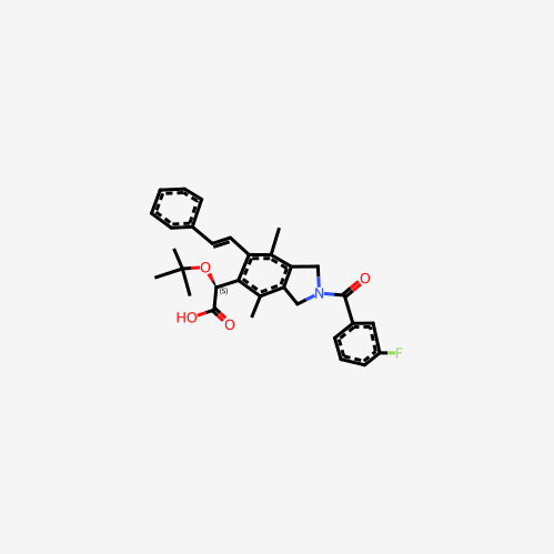 Cc1c(C=Cc2ccccc2)c([C@H](OC(C)(C)C)C(=O)O)c(C)c2c1CN(C(=O)c1cccc(F)c1)C2